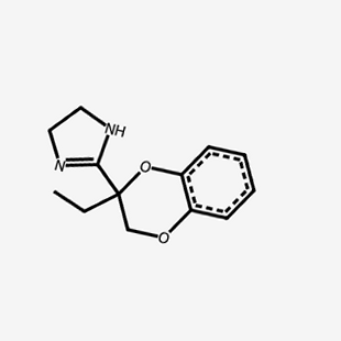 CCC1(C2=NCCN2)COc2ccccc2O1